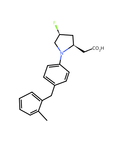 Cc1ccccc1Cc1ccc(N2C[C@@H](F)C[C@H]2CC(=O)O)cc1